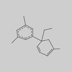 CCC1(c2cc(C)cc(C)c2)C=CC=C(C)C1